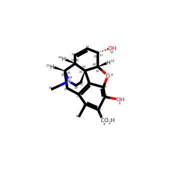 Cc1c2c3c(c(O)c1C(=O)O)O[C@H]1[C@@H](O)C=C[C@H]4[C@@H](C2)N(C)CC[C@@]341